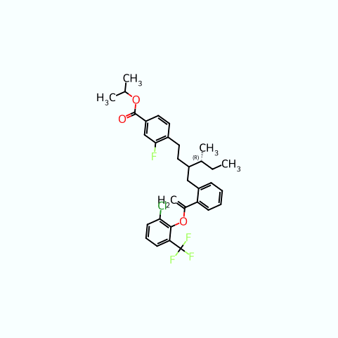 C=C(Oc1c(Cl)cccc1C(F)(F)F)c1ccccc1CC(CCc1ccc(C(=O)OC(C)C)cc1F)[C@H](C)CC